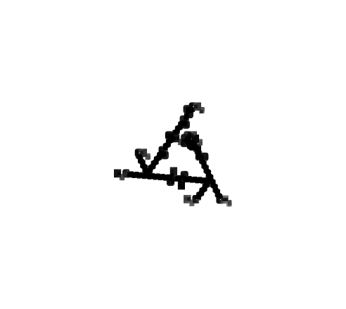 C=CC(=O)OCCOC(=O)CCCCCOC(=O)CCCCCOC(=O)CCCCCCCCC(CCCCCCCC)C(CCCCCCCC)CCCCCCCCC(=O)NCCNC(=O)CCCCCCCCC(CCCCCCCC)C(CCCCCCCC)CCCCCCCCC(=O)OCCOc1ccc(C(=O)C(C)(C)O)cc1